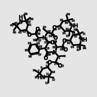 CC(C(=O)OC1CC(C)(C)NC(C)(C)C1)N(C(=O)C(C(=O)N(C(C)C(=O)OC1CC(C)(C)NC(C)(C)C1)C(C)C(=O)OC1CC(C)(C)NC(C)(C)C1)c1ccccc1)C(C)C(=O)OC1CC(C)(C)NC(C)(C)C1